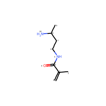 C=C(C)C(=O)NCCC(C)N